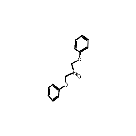 O=[P](COc1ccccc1)COc1ccccc1